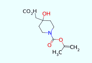 C=C(C)OC(=O)N1CCC(O)(CC(=O)O)CC1